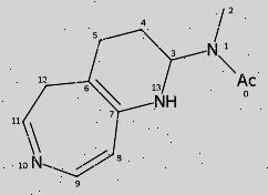 CC(=O)N(C)C1CCC2=C(C=CN=CC2)N1